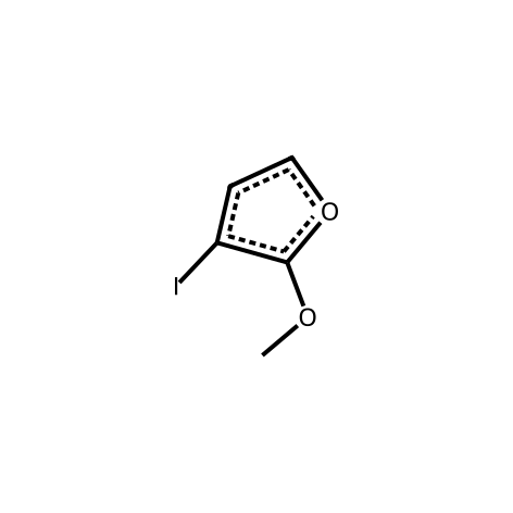 COc1occc1I